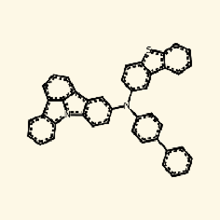 c1ccc(-c2ccc(N(c3ccc4sc5ccccc5c4c3)c3ccc4c(c3)c3cccc5c6ccccc6n4c53)cc2)cc1